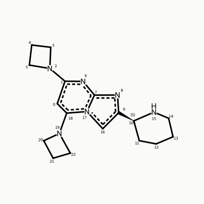 c1c(N2CCC2)nc2nc([C@@H]3CCCCN3)cn2c1N1CCC1